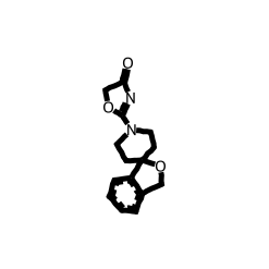 O=C1COC(N2CCC3(CC2)OCc2ccccc23)=N1